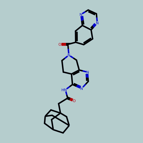 O=C(CC12CC3CC(CC(C3)C1)C2)Nc1ncnc2c1CCN(C(=O)c1ccc3nccnc3c1)C2